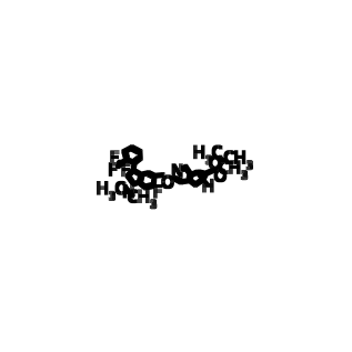 CN(C)C1CC(c2ccccc2C(F)(F)F)c2cc(COc3cc4c(cn3)C3=C(C(=O)OC(C)(C)C)[C@@H]3C4)c(F)cc21